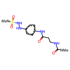 CNC(=O)NCCC(=O)Nc1ccc(NNS(=O)(=O)NC)cc1